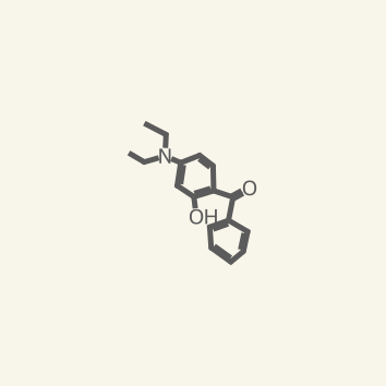 CCN(CC)c1ccc(C(=O)c2ccccc2)c(O)c1